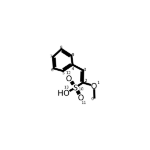 COC(=Cc1ccccc1)S(=O)(=O)O